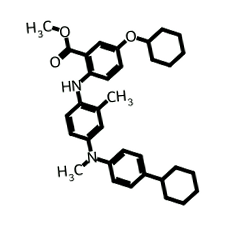 COC(=O)c1cc(OC2CCCCC2)ccc1Nc1ccc(N(C)c2ccc(C3CCCCC3)cc2)cc1C